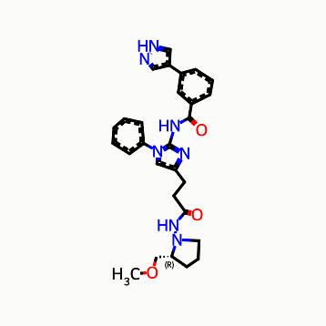 COC[C@H]1CCCN1NC(=O)CCc1cn(-c2ccccc2)c(NC(=O)c2cccc(-c3cn[nH]c3)c2)n1